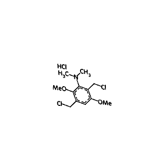 COc1cc(CCl)c(OC)c(N(C)C)c1CCl.Cl